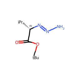 CC(C)[C@H](N=NN)C(=O)OC(C)(C)C